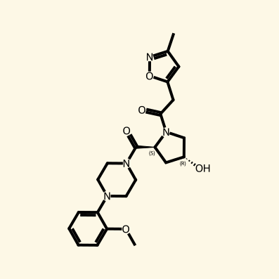 COc1ccccc1N1CCN(C(=O)[C@@H]2C[C@@H](O)CN2C(=O)Cc2cc(C)no2)CC1